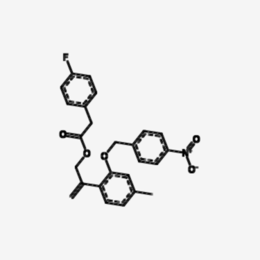 C=C(COC(=O)Cc1ccc(F)cc1)c1ccc(C)cc1OCc1ccc([N+](=O)[O-])cc1